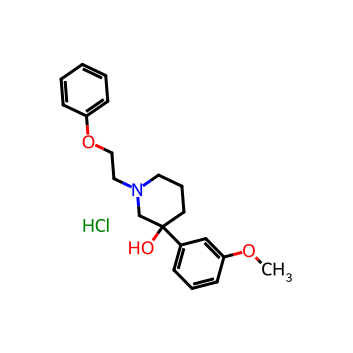 COc1cccc(C2(O)CCCN(CCOc3ccccc3)C2)c1.Cl